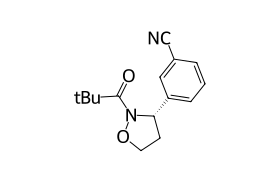 CC(C)(C)C(=O)N1OCC[C@H]1c1cccc(C#N)c1